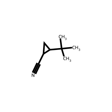 CC(C)(C)C1CC1C#N